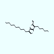 CCCCCCCCCCc1csc2c(CCCCCC)c(C=O)sc12